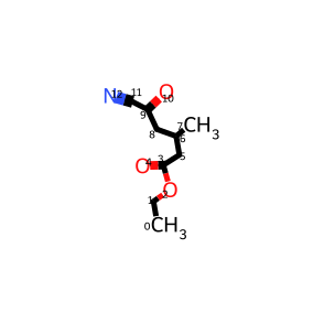 CCOC(=O)CC(C)CC(=O)C#N